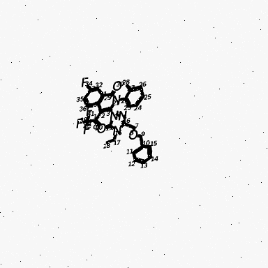 C=C(c1c(-n2nc(COCc3ccccc3)n(CC)c2=O)n(-c2ccccc2C)c(=O)c2cc(F)ccc12)C(F)(F)F